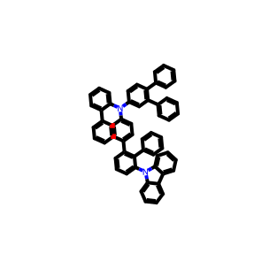 c1ccc(-c2ccc(N(c3ccc(-c4cccc(-n5c6ccccc6c6ccccc65)c4-c4ccccc4)cc3)c3ccccc3-c3ccccc3)cc2-c2ccccc2)cc1